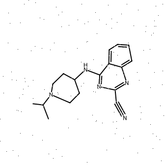 CC(C)N1CCC(Nc2nc(C#N)nc3ccccc23)CC1